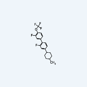 CC1CCC(c2ccc(-c3ccc(OC(F)(F)F)c(F)c3)c(F)c2)CC1